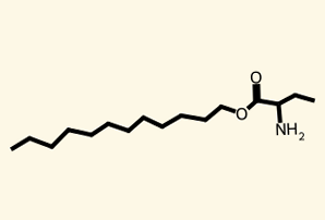 CCCCCCCCCCCCOC(=O)C(N)CC